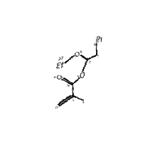 C=C(C)C(=O)OC(CC(C)C)OCC